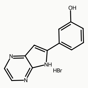 Br.Oc1cccc(-c2cc3nccnc3[nH]2)c1